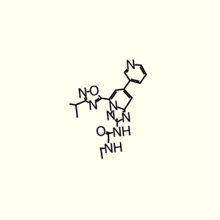 CCNC(=O)Nc1nc2cc(-c3cccnc3)cc(-c3nc(C(C)C)no3)n2n1